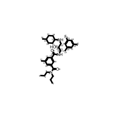 CCCN(CCC)C(=O)c1cc(C)cc(C(=O)N[C@@H](Cc2cc(F)cc(F)c2)[C@H](O)CNC2CCC(C)CC2)c1